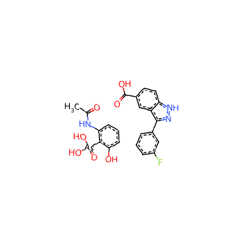 CC(=O)Nc1cccc(O)c1[As](=O)(O)O.O=C(O)c1ccc2[nH]nc(-c3cccc(F)c3)c2c1